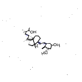 C=C1/C(=C\C=C2/CCC[C@]3(C)[C@@H]([C@H](C)/C=C/[C@H](C)C(C)O)CC[C@@H]23)C[C@@H](O)C[C@@H]1O